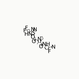 Cc1c(C(=O)Nc2ccc(F)c(C#N)c2)c2n(c1C(=O)COCNC1(c3nncs3)CC(F)(F)C1)CCC2